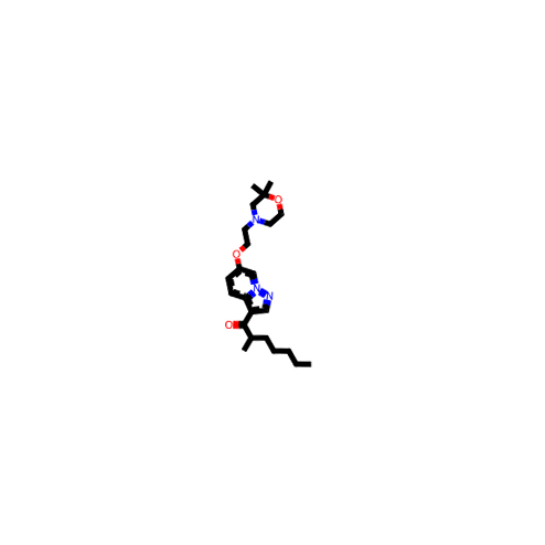 CCCCCC(C)C(=O)c1cnn2cc(OCCN3CCOC(C)(C)C3)ccc12